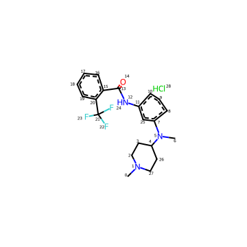 CN1CCC(N(C)c2cccc(NC(=O)c3ccccc3C(F)(F)F)c2)CC1.Cl